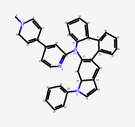 CN1C=CC(c2ccnc(N3C4=C(C=C5C=CN(c6ccccc6)C5C4)c4ccccc4-c4ccccc43)c2)=CC1